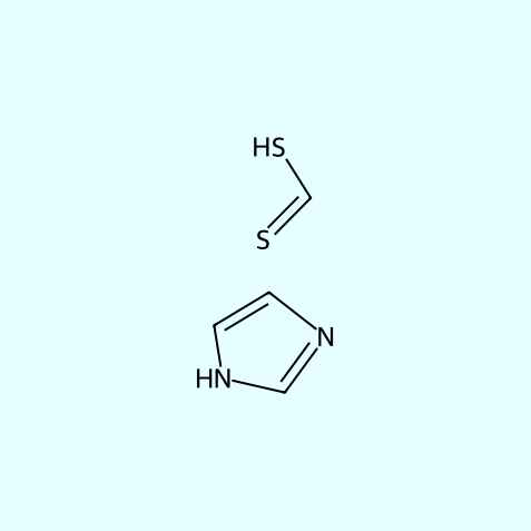 S=CS.c1c[nH]cn1